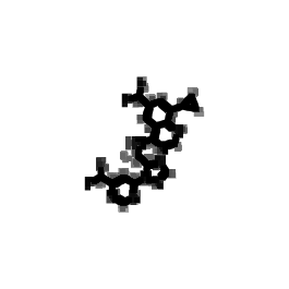 C[C@H](Nc1ncnc2c(C3CC3)cc(C(F)F)cc12)c1ncnn1-c1cc(C(F)F)ncn1